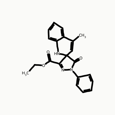 CCOC(=O)C1=NN(c2ccccc2)C(=O)C12C=C(C)c1ccccc1N2